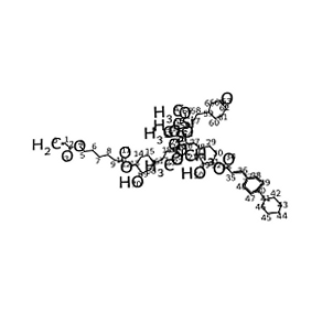 C=CC(=O)OCCCCCC(=O)OC1CCC(CC[Si](OC)(OC)O[Si](CCC2CCC(OC(=O)/C=C/c3ccc(C4CCCCC4)cc3)C(O)C2)(OC)O[Si](C)(CCC2CCC3OC3C2)OC)CC1O